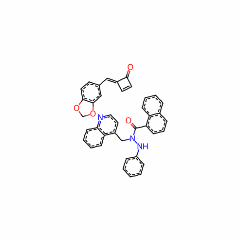 O=C(c1cccc2ccccc12)N(Cc1ccnc2ccccc12)Nc1ccccc1.O=C1C=CC1=Cc1ccc2c(c1)OCO2